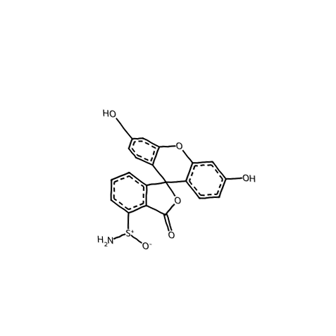 N[S+]([O-])c1cccc2c1C(=O)OC21c2ccc(O)cc2Oc2cc(O)ccc21